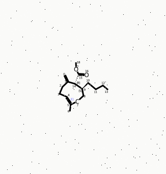 C=C1CC/C=C(\C)CC[C@H](CCCC)[C@H]1C(=O)OC